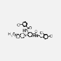 CN1CCC2(CCN(c3ccc(C(=O)NCCc4ccc(Cl)cc4Cl)cc3NC(=O)c3cccc(Cl)c3)CC2)C1